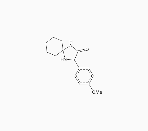 COc1ccc(C2NC3(CCCCC3)NC2=O)cc1